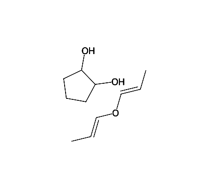 CC=COC=CC.OC1CCCC1O